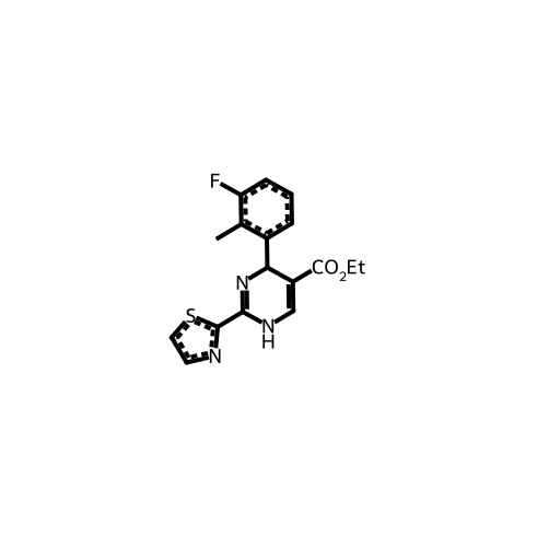 CCOC(=O)C1=CNC(c2nccs2)=NC1c1cccc(F)c1C